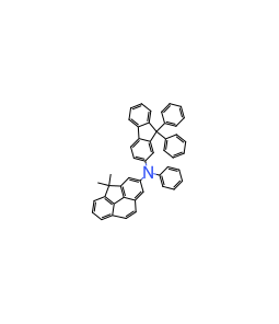 CC1(C)c2cccc3ccc4cc(N(c5ccccc5)c5ccc6c(c5)C(c5ccccc5)(c5ccccc5)c5ccccc5-6)cc1c4c23